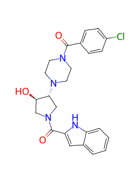 O=C(c1ccc(Cl)cc1)N1CCN([C@@H]2CN(C(=O)c3cc4ccccc4[nH]3)C[C@H]2O)CC1